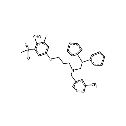 CS(=O)(=O)c1cc(OCCCN(Cc2cccc(C(F)(F)F)c2)CC(c2ccccc2)c2ccccc2)cc(F)c1C=O